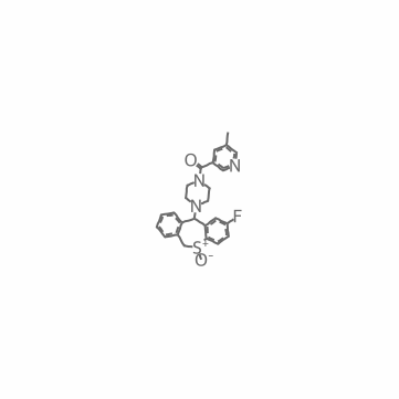 Cc1cncc(C(=O)N2CCN(C3c4ccccc4C[S+]([O-])c4ccc(F)cc43)CC2)c1